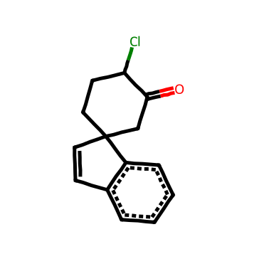 O=C1CC2(C=Cc3ccccc32)CCC1Cl